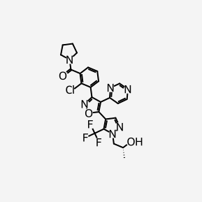 C[C@@H](O)Cn1ncc(-c2onc(-c3cccc(C(=O)N4CCCC4)c3Cl)c2-c2ccncn2)c1C(F)(F)F